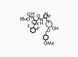 COc1ccc(COC2CCN(c3c(NC(=O)c4nc(-c5c(F)cccc5F)sc4NC(=O)OC(C)(C)C)cnn3C)CCC2O)cc1